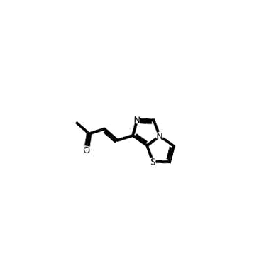 CC(=O)C=Cc1ncn2ccsc12